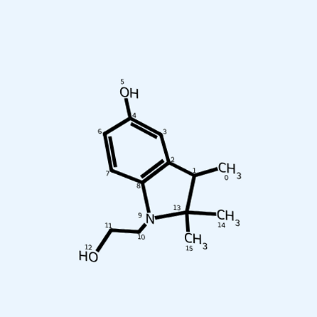 CC1c2cc(O)ccc2N(CCO)C1(C)C